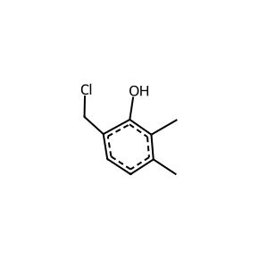 Cc1ccc(CCl)c(O)c1C